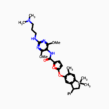 COc1nc(NCCCN(C)C)nc(OC)c1NC(=O)c1ccc(Oc2cc3c(cc2C)[Si](C)(C)CC3C(C)C)o1